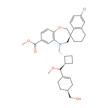 COC(=O)c1ccc2c(c1)N(C[C@@H]1CC[C@H]1C(OC)C1=CC[C@@H](CO)CC1)C[C@@]1(CCCc3cc(Cl)ccc31)CO2